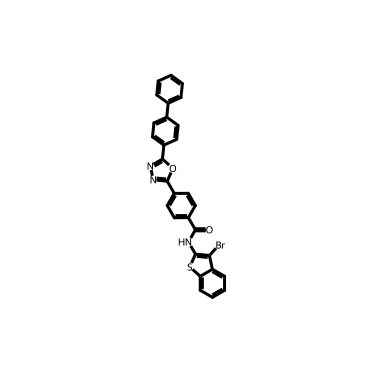 O=C(Nc1sc2ccccc2c1Br)c1ccc(-c2nnc(-c3ccc(-c4ccccc4)cc3)o2)cc1